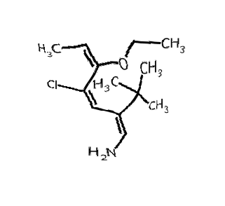 C\C=C(OCC)/C(Cl)=C\C(=C/N)C(C)(C)C